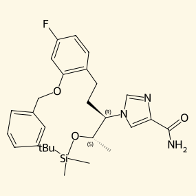 C[C@H](O[Si](C)(C)C(C)(C)C)[C@@H](CCc1ccc(F)cc1OCc1ccccc1)n1cnc(C(N)=O)c1